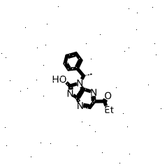 CCC(=O)c1cnc2nc(O)n([C@@H](C)c3ccccc3)c2n1